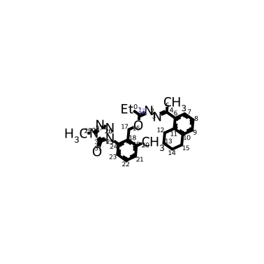 CC/C(=N/N=C(C)c1cccc2c1CCCC2)OCc1c(C)cccc1-n1nnn(C)c1=O